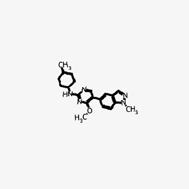 COc1nc(NC2CCC(C)CC2)ncc1-c1ccc2c(cnn2C)c1